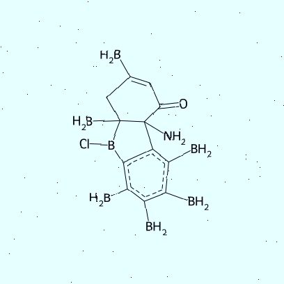 BC1=CC(=O)C2(N)c3c(B)c(B)c(B)c(B)c3B(Cl)C2(B)C1